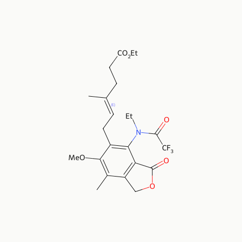 CCOC(=O)CC/C(C)=C/Cc1c(OC)c(C)c2c(c1N(CC)C(=O)C(F)(F)F)C(=O)OC2